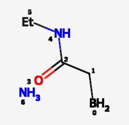 BCC(=O)NCC.N